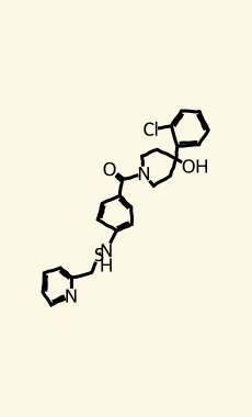 O=C(c1ccc(NSCc2ccccn2)cc1)N1CCC(O)(c2ccccc2Cl)CC1